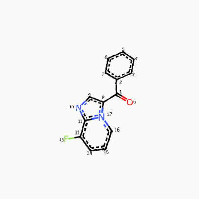 O=C(c1ccccc1)c1cnc2c(F)cccn12